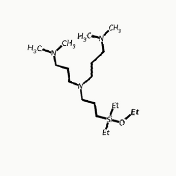 CCO[Si](CC)(CC)CCCN(CCCN(C)C)CCCN(C)C